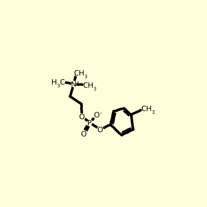 Cc1ccc(OP(=O)([O-])OCC[N+](C)(C)C)cc1